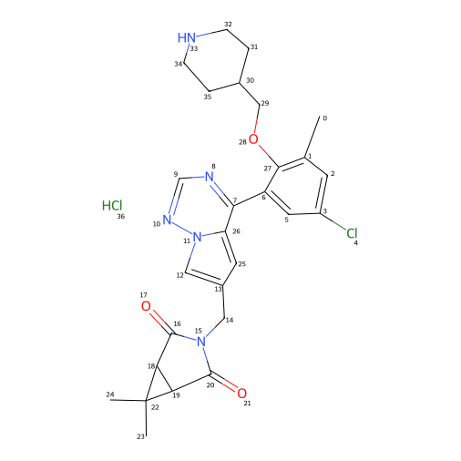 Cc1cc(Cl)cc(-c2ncnn3cc(CN4C(=O)C5C(C4=O)C5(C)C)cc23)c1OCC1CCNCC1.Cl